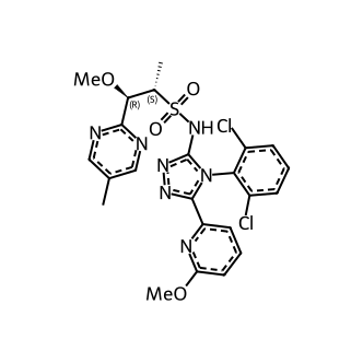 COc1cccc(-c2nnc(NS(=O)(=O)[C@@H](C)[C@H](OC)c3ncc(C)cn3)n2-c2c(Cl)cccc2Cl)n1